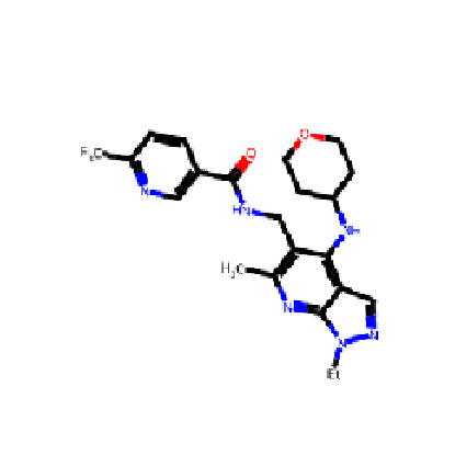 CCn1ncc2c(NC3CCOCC3)c(CNC(=O)c3ccc(C(F)(F)F)nc3)c(C)nc21